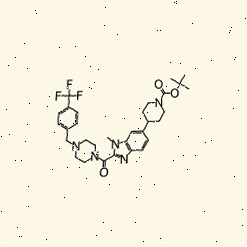 Cn1c(C(=O)N2CCN(Cc3ccc(C(F)(F)F)cc3)CC2)nc2ccc(C3CCN(C(=O)OC(C)(C)C)CC3)cc21